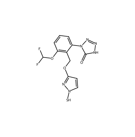 O=c1[nH]nnn1-c1cccc(OC(F)F)c1COc1ccn(S)n1